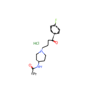 CCCC(=O)NC1CCN(CCCC(=O)c2ccc(F)cc2)CC1.Cl